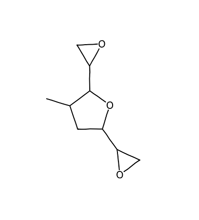 CC1CC(C2CO2)OC1C1CO1